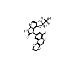 [2H]C([2H])([2H])C([2H])([2H])Oc1ccnc2[nH]c(=O)n(-c3cc(F)c4ncc5c(c4c3)OCCO5)c12